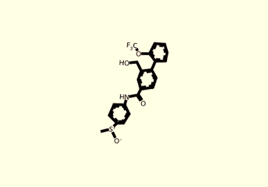 C[S+]([O-])c1ccc(NC(=O)c2ccc(-c3ccccc3OC(F)(F)F)c(CO)c2)cc1